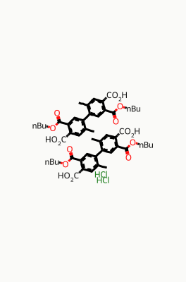 CCCCOC(=O)c1cc(-c2cc(C(=O)OCCCC)c(C(=O)O)cc2C)c(C)cc1C(=O)O.CCCCOC(=O)c1cc(-c2cc(C(=O)OCCCC)c(C(=O)O)cc2C)c(C)cc1C(=O)O.Cl.Cl